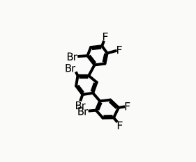 Fc1cc(Br)c(-c2cc(-c3cc(F)c(F)cc3Br)c(Br)cc2Br)cc1F